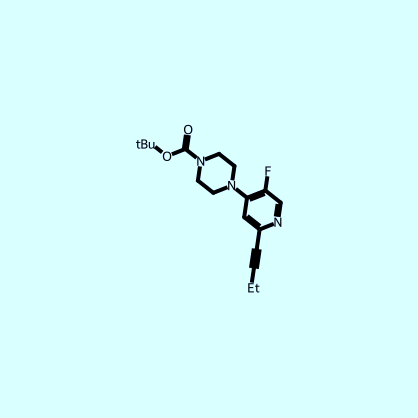 CCC#Cc1cc(N2CCN(C(=O)OC(C)(C)C)CC2)c(F)cn1